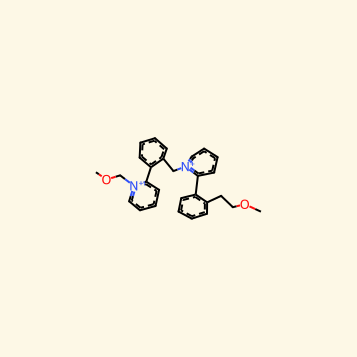 COCCc1ccccc1-c1cccc[n+]1Cc1ccccc1-c1cccc[n+]1COC